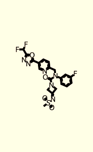 CS(=O)(=O)N=C1CN(C(=O)N(Cc2ccc(-c3nnc(C(F)F)o3)cn2)c2cccc(F)c2)C1